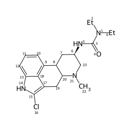 CCN(CC)C(=O)N[C@@H]1CC2c3cccc4[nH]c(Cl)c(c34)CC2N(C)C1